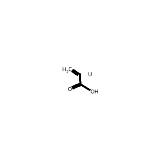 C=CC(=O)O.[U]